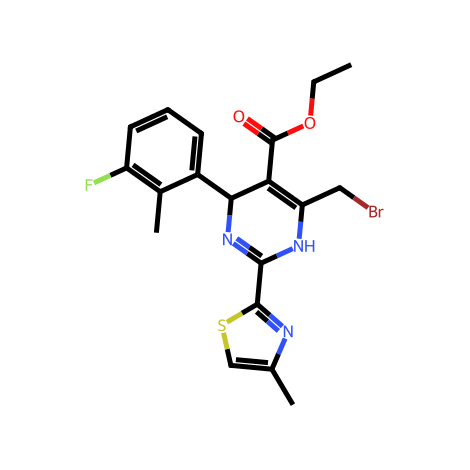 CCOC(=O)C1=C(CBr)NC(c2nc(C)cs2)=NC1c1cccc(F)c1C